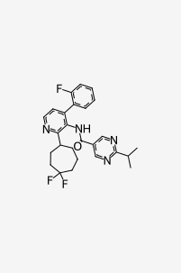 CC(C)c1ncc(C(=O)Nc2c(-c3ccccc3F)ccnc2C2CCCC(F)(F)CC2)cn1